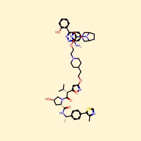 Cc1ncsc1-c1ccc([C@H](C)NC(=O)[C@@H]2C[C@@H](O)CN2C(=O)[C@@H](c2cc(OCCC3CCN(CCOc4cc(N5C6CCC5CN(c5cc(-c7ccccc7O)nnc5N)C6)ccn4)CC3)no2)C(C)C)cc1